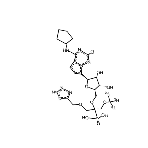 [2H]C([2H])([2H])OC[C@](COCc1nn[nH]n1)(OC[C@H]1O[C@@H](c2ccc3c(NC4CCCC4)nc(Cl)nn23)[C@H](O)[C@@H]1O)P(=O)(O)O